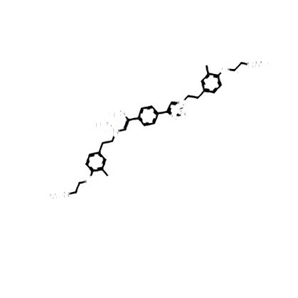 CNCCOc1ccc(CCN(N)/C=C(\N)c2ccc(-c3cn(CCc4ccc(OCCNC)c(C)c4)nn3)cc2)cc1C